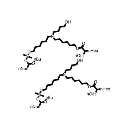 CCCCCCCCCC(OCCCC)O[Si](C)(C)OCCCCCCN(CCCCO)CCCCCCOC(=O)C(CCCCCC)CCCCCCCC.CCCCCCCCCC(OCCCC)O[Si](C)(C)OCCCCCCN(CCCCO)CCCCCCOC(=O)C(CCCCCC)CCCCCCCC